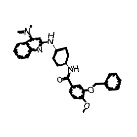 COc1ccc(C(=O)N[C@H]2CC[C@@H](Nc3cc(N(C)C)c4ccccc4n3)CC2)cc1OCc1ccccc1